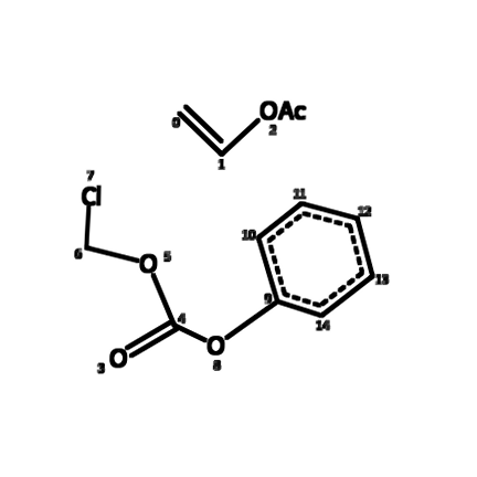 C=COC(C)=O.O=C(OCCl)Oc1ccccc1